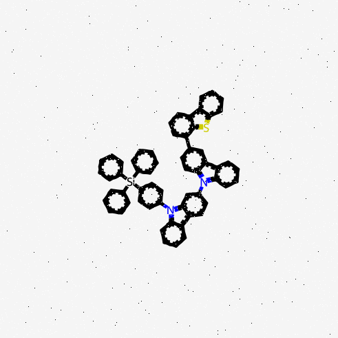 c1ccc([Si](c2ccccc2)(c2ccccc2)c2ccc(-n3c4ccccc4c4ccc(-n5c6ccccc6c6cc(-c7cccc8c7sc7ccccc78)ccc65)cc43)cc2)cc1